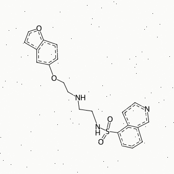 O=S(=O)(NCCNCCOc1ccc2occc2c1)c1cccc2cnccc12